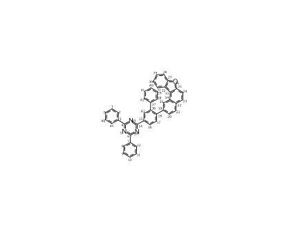 c1ccc(-c2nc(-c3ccccc3)nc(-c3ccc(-c4ccc5ccc6oc7ccccc7c6c5c4)c(-c4ccccc4)c3)n2)cc1